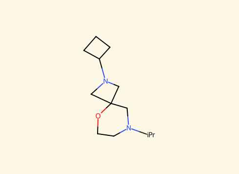 CC(C)N1CCOC2(C1)CN(C1CCC1)C2